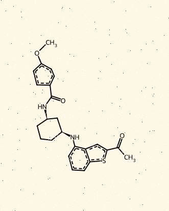 COc1ccc(C(=O)N[C@@H]2CCC[C@H](Nc3cccc4sc(C(C)=O)cc34)C2)cc1